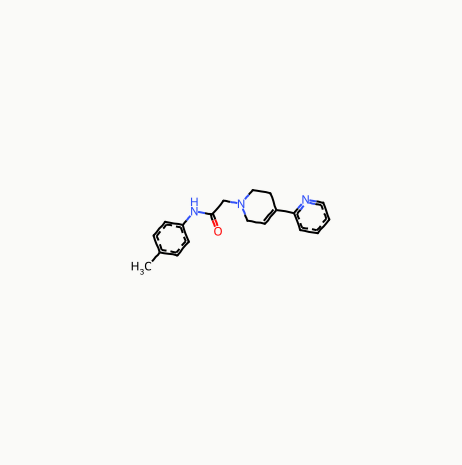 Cc1ccc(NC(=O)CN2CC=C(c3ccccn3)CC2)cc1